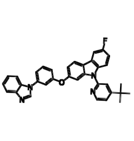 CC(C)(C)c1ccnc(-n2c3ccc(F)cc3c3ccc(Oc4cccc(-n5cnc6ccccc65)c4)cc32)c1